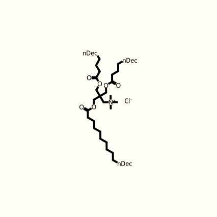 CCCCCCCCCCCCCCCCCCCC(=O)OCC(COC(=O)CCCCCCCCCCCCC)(COC(=O)CCCCCCCCCCCCC)C[N+](C)(C)C.[Cl-]